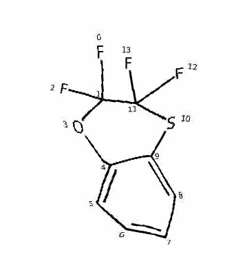 FC1(F)Oc2ccccc2SC1(F)F